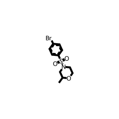 CC1CN(S(=O)(=O)c2ccc(Br)cc2)CCO1